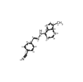 Cc1csc2c(NN=Cc3ccc(C#N)cc3)ncnc12